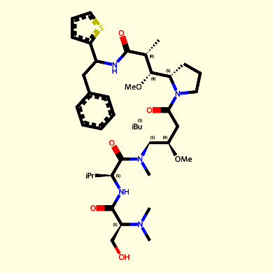 CC[C@H](C)[C@@H]([C@@H](CC(=O)N1CCC[C@H]1[C@H](OC)[C@@H](C)C(=O)NC(Cc1ccccc1)c1cccs1)OC)N(C)C(=O)[C@@H](NC(=O)[C@H](CO)N(C)C)C(C)C